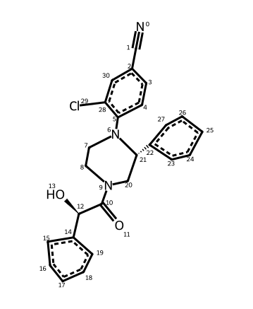 N#Cc1ccc(N2CCN(C(=O)[C@H](O)c3ccccc3)C[C@H]2c2ccccc2)c(Cl)c1